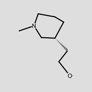 CN1CCC[C@H](CC[O])C1